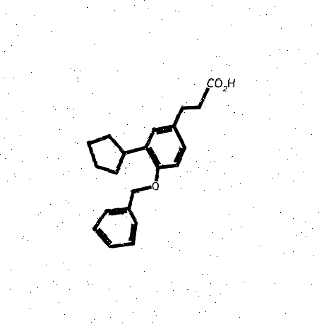 O=C(O)CCc1ccc(OCc2ccccc2)c(C2CCCC2)c1